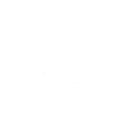 CCCCCCCCOC(=O)C(C#N)=CC=Cc1ccccc1